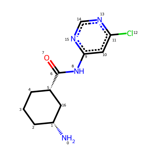 N[C@@H]1CCC[C@H](C(=O)Nc2cc(Cl)ncn2)C1